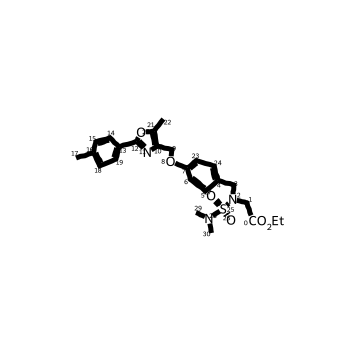 CCOC(=O)CN(Cc1ccc(OCc2nc(-c3ccc(C)cc3)oc2C)cc1)S(=O)(=O)N(C)C